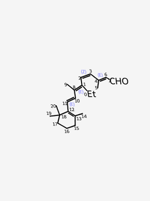 CCC(/C=C\C(C)=C\C=O)=C(C)\C=C\C1=C(C)CCCC1(C)C